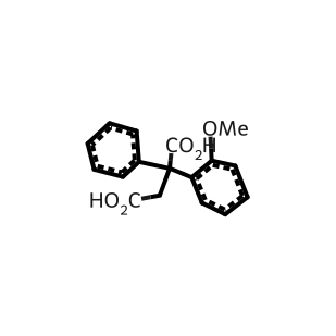 COc1ccccc1C(CC(=O)O)(C(=O)O)c1ccccc1